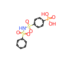 O=P(O)(O)c1ccc(S(=O)(=O)NS(=O)(=O)c2ccccc2)cc1